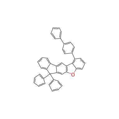 c1ccc(-c2ccc(-c3cccc4oc5cc6c(cc5c34)-c3ccccc3C6(c3ccccc3)c3ccccc3)cc2)cc1